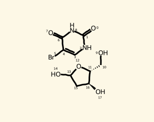 O=c1[nH]cc(Br)c(=O)[nH]1.OC[C@H]1OC(O)C[C@@H]1O